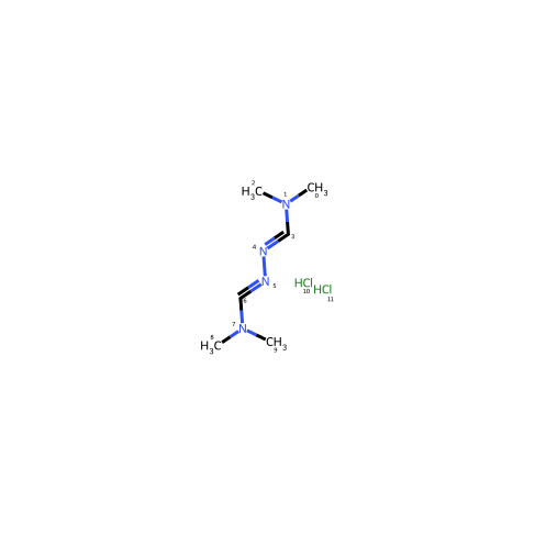 CN(C)/C=N/N=C/N(C)C.Cl.Cl